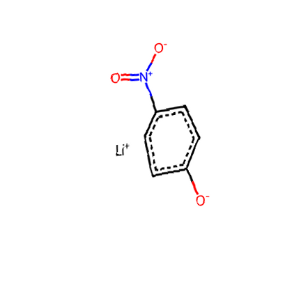 O=[N+]([O-])c1ccc([O-])cc1.[Li+]